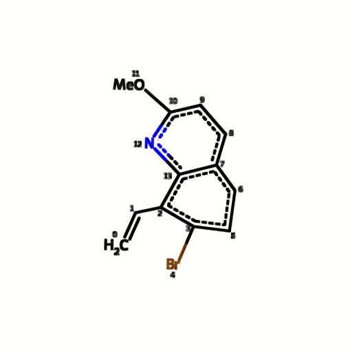 C=Cc1c(Br)ccc2ccc(OC)nc12